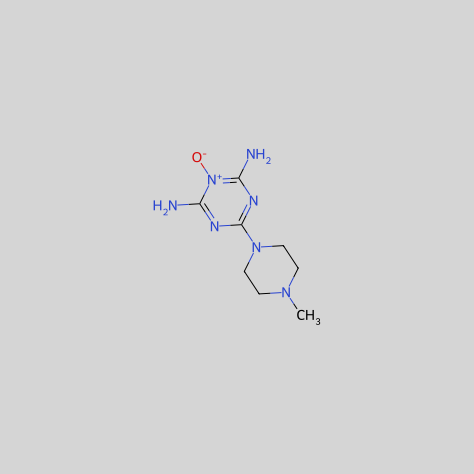 CN1CCN(c2nc(N)[n+]([O-])c(N)n2)CC1